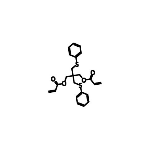 C=CC(=O)OCC(COC(=O)C=C)(CSc1ccccc1)CSc1ccccc1